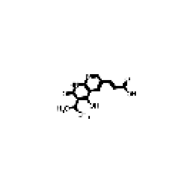 CC(C)c1c(O)c2cc(C=CC(=O)O)cnc2[nH]c1=O